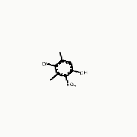 Cc1cc(O)c([N+](=O)[O-])c(C)c1Br